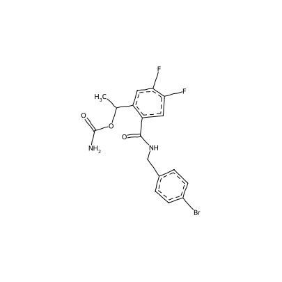 CC(OC(N)=O)c1cc(F)c(F)cc1C(=O)NCc1ccc(Br)cc1